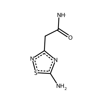 [NH]C(=O)Cc1nsc(N)n1